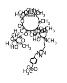 CC[C@H]1OC(=O)[C@H](C)[C@@H](OC[C@H]2C[C@@](C)(OC)[C@@H](O)[C@H](C)O2)[C@H](C)[C@@H](O[C@@H]2O[C@H](C)C[C@H](N(C)CCc3cn(Cc4ccc(S(C)(=O)=O)cc4)nn3)[C@H]2O)[C@](C)(O)C[C@@H](C)CN(C)[C@H](C)[C@@H](O)[C@]1(C)O